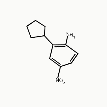 Nc1ccc([N+](=O)[O-])cc1C1CCCC1